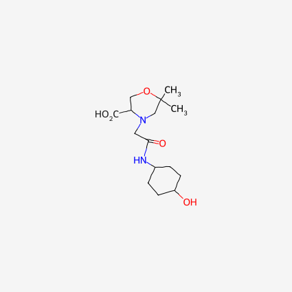 CC1(C)CN(CC(=O)NC2CCC(O)CC2)C(C(=O)O)CO1